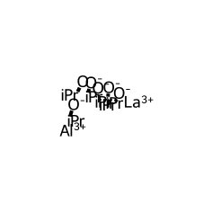 CC(C)[O-].CC(C)[O-].CC(C)[O-].CC(C)[O-].CC(C)[O-].CC(C)[O-].[Al+3].[La+3]